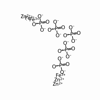 O=P([O-])([O-])[O-].O=P([O-])([O-])[O-].O=P([O-])([O-])[O-].O=P([O-])([O-])[O-].O=P([O-])([O-])[O-].[Fe+3].[Fe+3].[Fe+3].[Zn+2].[Zn+2].[Zn+2]